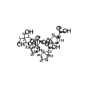 CCC(CO)(CO)CO.O=C(O)C1CC2C=CC1C2.O=C(O)C1CC2C=CC1C2.O=C(O)C1CC2C=CC1C2